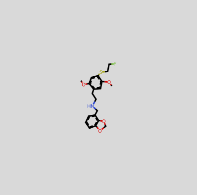 COc1cc(SCCF)c(OC)cc1CCNCc1cccc2c1OCO2